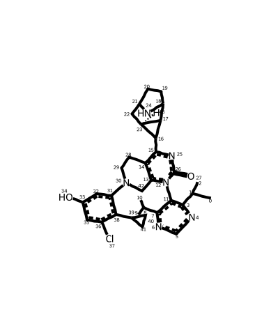 CC(C)c1ncnc(C(C)C)c1-n1c2c(c(C3C4C5CCC(C[C@H]34)N5)nc1=O)CCN(c1cc(O)cc(Cl)c1C1CC1)C2